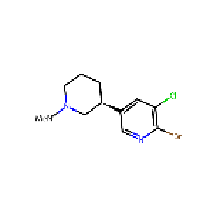 CNN1CCC[C@@H](c2cnc(Br)c(Cl)c2)C1